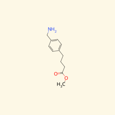 COC(=O)CCCc1ccc(CN)cc1